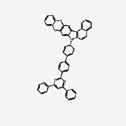 C1=CC(n2c3cc4c(cc3c3c5ccccc5ccc32)Sc2ccccc2S4)CC=C1c1ccc(-c2nc(-c3ccccc3)cc(-c3ccccc3)n2)cc1